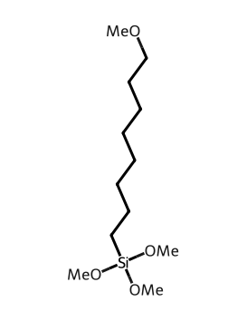 COCCCCCCCC[Si](OC)(OC)OC